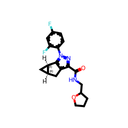 O=C(NCC1CCCO1)c1nn(-c2ccc(F)cc2F)c2c1C[C@H]1C[C@@H]21